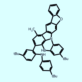 Cc1cc(-c2cc(C(C)(C)C)ccc2Nc2ccc(C(C)(C)C)cc2)c2c3c1c1cc4c(cc1n3-c1ccc(C(C)(C)C)cc1B2)oc1ccccc14